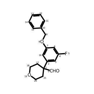 O=CC1(c2cc(F)cc(OCc3ccccc3)c2)CCOCC1